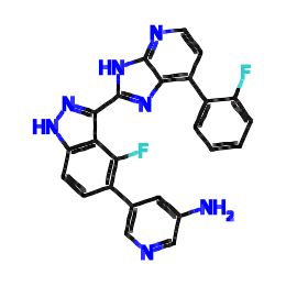 Nc1cncc(-c2ccc3[nH]nc(-c4nc5c(-c6ccccc6F)ccnc5[nH]4)c3c2F)c1